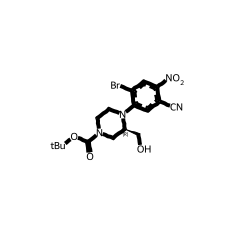 CC(C)(C)OC(=O)N1CCN(c2cc(C#N)c([N+](=O)[O-])cc2Br)[C@@H](CO)C1